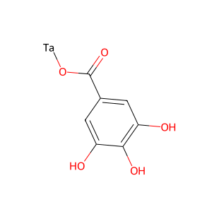 O=C([O][Ta])c1cc(O)c(O)c(O)c1